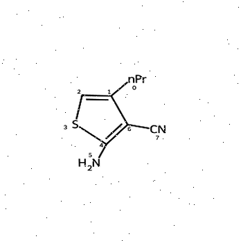 CCCc1csc(N)c1C#N